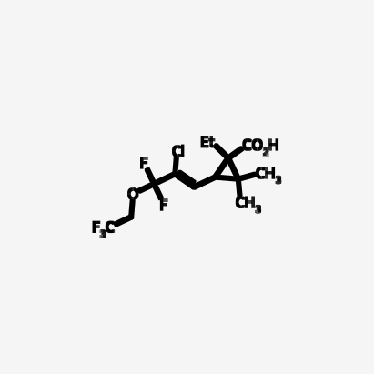 CCC1(C(=O)O)C(C=C(Cl)C(F)(F)OCC(F)(F)F)C1(C)C